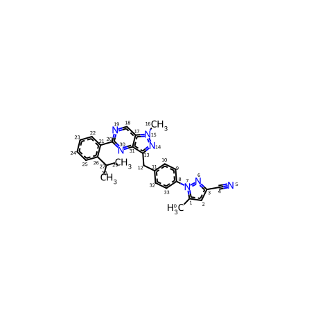 Cc1cc(C#N)nn1-c1ccc(Cc2nn(C)c3cnc(-c4ccccc4C(C)C)nc23)cc1